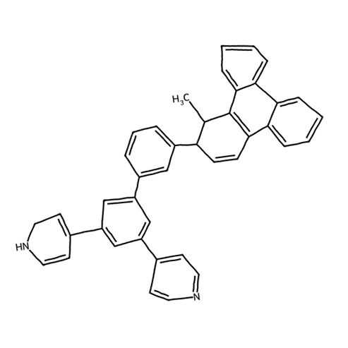 CC1c2c(c3ccccc3c3ccccc23)C=CC1c1cccc(-c2cc(C3=CCNC=C3)cc(-c3ccncc3)c2)c1